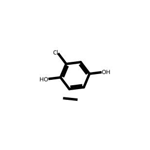 CC.Oc1ccc(O)c(Cl)c1